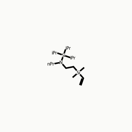 C=C[Si](C)(C)CCN(CCC)[Si](C(C)C)(C(C)C)C(C)C